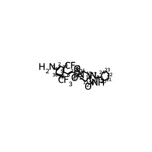 Nc1cc(C(F)(F)F)c(C=CS(=O)(=O)N2CCC3(CC2)N=C(C2CCCCC2)NC3=O)c(C(F)(F)F)c1